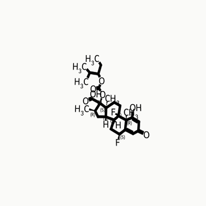 CCC(OC(=O)O[C@]1(C(=O)O)[C@H](C)C[C@H]2[C@@H]3C[C@H](F)C4=CC(=O)C=C(O)[C@]4(C)[C@@]3(F)CC[C@@]21C)C(C)C